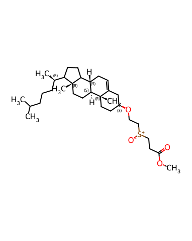 COC(=O)CC[S+]([O-])CCO[C@H]1CC[C@@]2(C)C(=CC[C@H]3C4CCC([C@H](C)CCCC(C)C)[C@@]4(C)CC[C@@H]32)C1